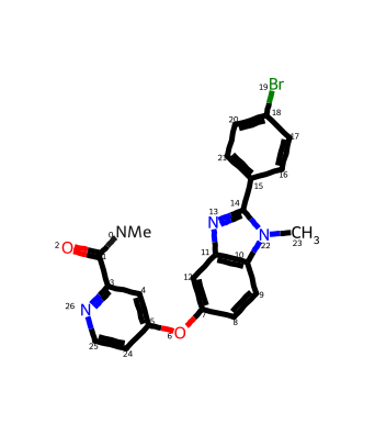 CNC(=O)c1cc(Oc2ccc3c(c2)nc(-c2ccc(Br)cc2)n3C)ccn1